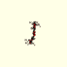 CCO[C@@H](Cc1ccc(OCCCc2ccc3c(c2)Cc2cc(CCCOc4ccc(C[C@H](OCC)C(=O)OC(C)C)cc4Br)ccc2-3)c(Br)c1)C(=O)OC(C)C